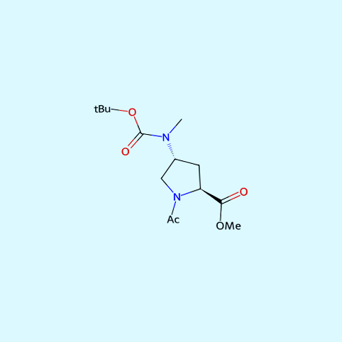 COC(=O)[C@@H]1C[C@@H](N(C)C(=O)OC(C)(C)C)CN1C(C)=O